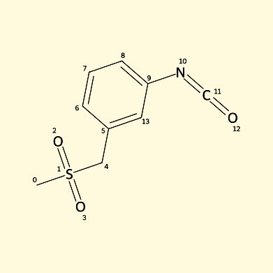 CS(=O)(=O)Cc1cccc(N=C=O)c1